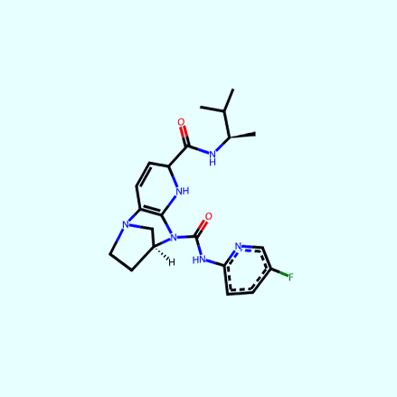 CC(C)[C@@H](C)NC(=O)C1C=CC2=C(N1)N(C(=O)Nc1ccc(F)cn1)[C@H]1CCN2C1